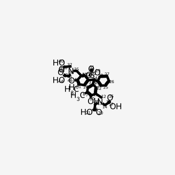 Cc1cc(C2(c3cc(C)c(O)c(CN(CC(=O)O)CC(=O)O)c3)c3ccccc3OS2(=O)=O)cc(CN(CC(=O)O)CC(=O)O)c1O